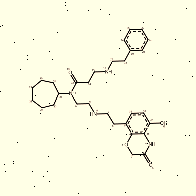 O=C1COc2c(CCNCCN(C(=O)CCNCCc3ccccc3)C3CCCCCC3)ccc(O)c2N1